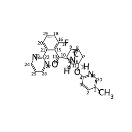 Cc1ccc(O[C@@H]2CC3CC[C@@H]2N(C(=O)c2c(F)cccc2-c2ncccn2)C3)nc1